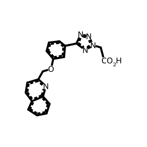 O=C(O)Cn1nnc(-c2cccc(OCc3ccc4ccccc4n3)c2)n1